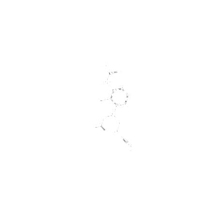 CCc1c(NC(C)=O)cccc1N(CCC#N)OC(C)=O